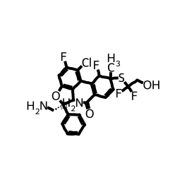 CC1(SC(F)(F)CO)C=CC(C(N)=O)=C(c2c(Cl)c(F)cc3c2C[C@@](CN)(c2ccccc2)O3)C1F